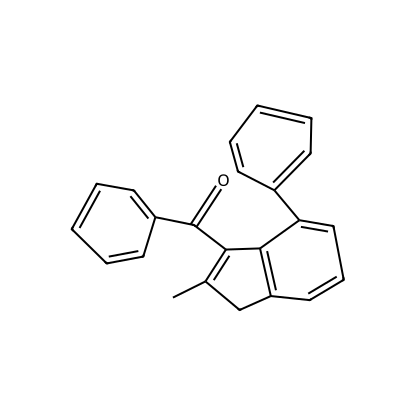 CC1=C(C(=O)c2ccccc2)c2c(cccc2-c2ccccc2)C1